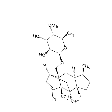 CO[C@H]1[C@@H](O)[C@H](O)[C@H](OC[C@]23C[C@H]4[C@@H](C)CC[C@@H]4[C@]4(C=O)C[C@H]2C=C(C(C)C)[C@]34C(=O)O)O[C@@H]1C